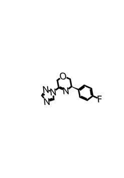 Fc1ccc([C@@H]2COCC(n3cncn3)=N2)cc1